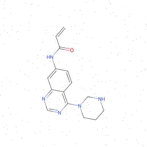 C=CC(=O)Nc1ccc2c(N3CCCNC3)ncnc2c1